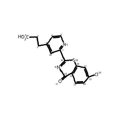 O=C(O)CCc1ccnc(-c2nc(=O)c3ccc(Cl)cc3s2)c1